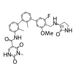 COc1cc(-c2cccc(-c3cccc(NC(=O)c4c[nH]c(=O)n(C)c4=O)c3C)c2C)cc(F)c1CN[C@H]1CCNC1=O